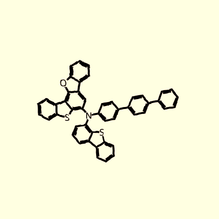 c1ccc(-c2ccc(-c3ccc(N(c4cccc5c4sc4ccccc45)c4cc5c6ccccc6oc5c5c4sc4ccccc45)cc3)cc2)cc1